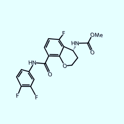 COC(=O)N[C@@H]1CCOc2c(C(=O)Nc3ccc(F)c(F)c3)ccc(F)c21